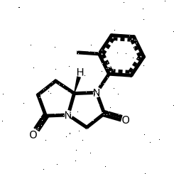 Cc1ccccc1N1C(=O)CN2C(=O)CC[C@@H]21